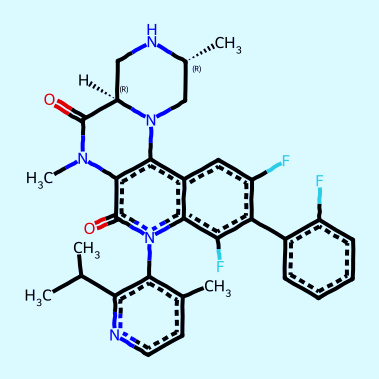 Cc1ccnc(C(C)C)c1-n1c(=O)c2c(c3cc(F)c(-c4ccccc4F)c(F)c31)N1C[C@@H](C)NC[C@@H]1C(=O)N2C